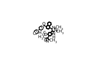 COc1cc2c3c([nH]c2cc1-c1c(C)noc1C)N(C)C(C)N=C3c1ccc(C(=O)N2CCC(N3CCOCC3)CC2)c2ccccc12